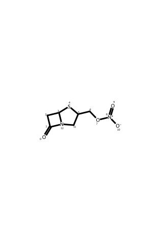 O=C1CC2SC(CO[N+](=O)[O-])CN12